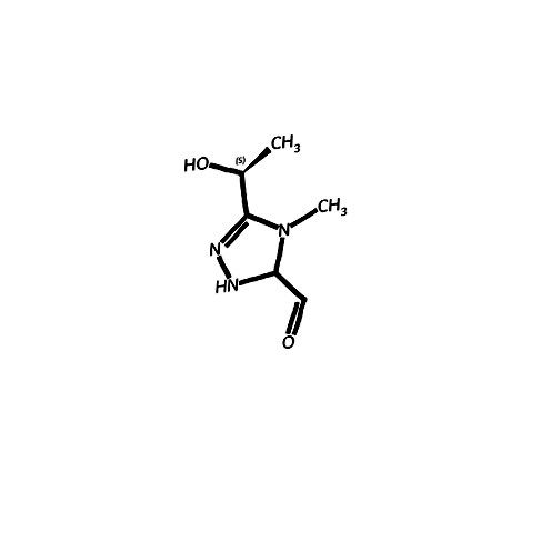 C[C@H](O)C1=NNC(C=O)N1C